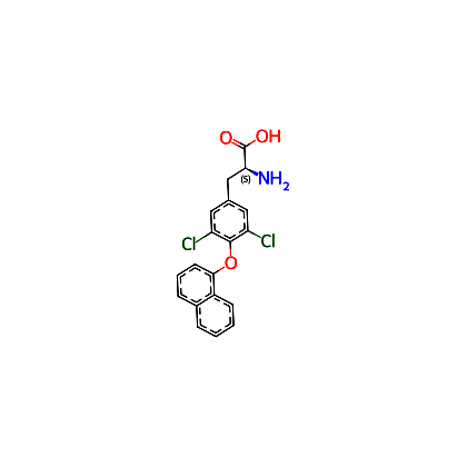 N[C@@H](Cc1cc(Cl)c(Oc2cccc3ccccc23)c(Cl)c1)C(=O)O